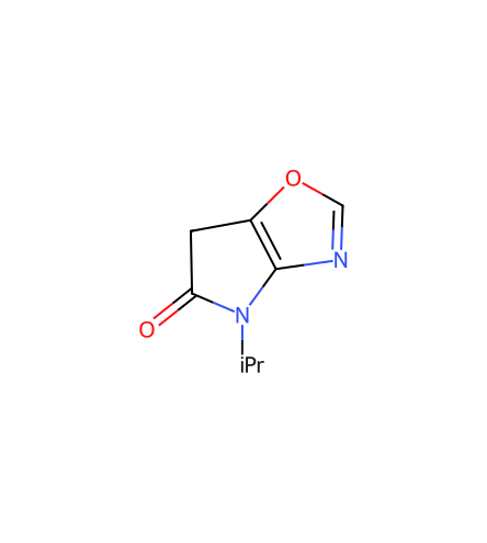 CC(C)N1C(=O)Cc2ocnc21